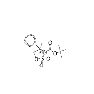 CC(C)(C)OC(=O)N1[C@](C)(c2ccccc2)COS1(=O)=O